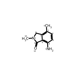 Cc1ccc(N)c2c1CN(C)C2=O